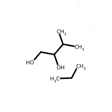 CC(C)C(O)CO.CCC